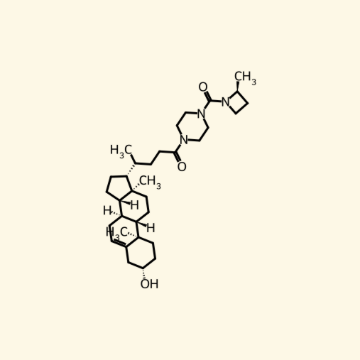 CC(CCC(=O)N1CCN(C(=O)N2CC[C@@H]2C)CC1)[C@H]1CC[C@H]2[C@@H]3CC=C4C[C@@H](O)CC[C@]4(C)[C@H]3CC[C@]12C